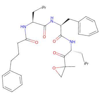 CC(C)C[C@H](NC(=O)CCCc1ccccc1)C(=O)N[C@@H](Cc1ccccc1)C(=O)N[C@H](CC(C)C)C(=O)C1(C)CO1